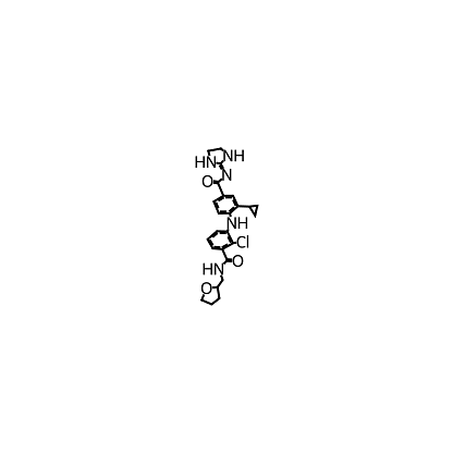 O=C(N=C1NCCN1)c1ccc(Nc2cccc(C(=O)NCC3CCCO3)c2Cl)c(C2CC2)c1